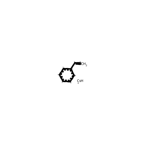 C=Cc1ccccc1.[CsH]